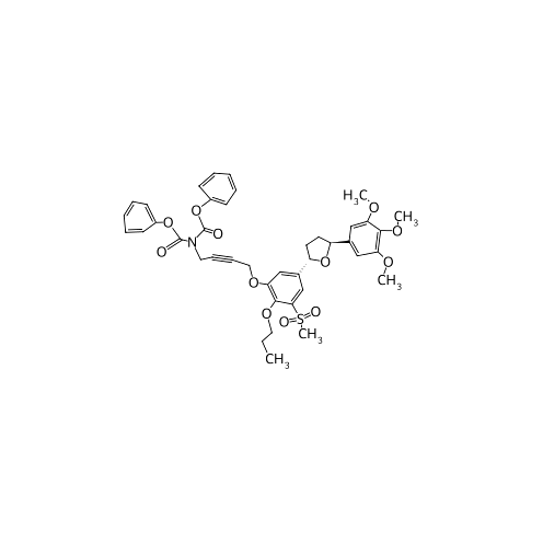 CCCOc1c(OCC#CCN(C(=O)Oc2ccccc2)C(=O)Oc2ccccc2)cc([C@@H]2CC[C@@H](c3cc(OC)c(OC)c(OC)c3)O2)cc1S(C)(=O)=O